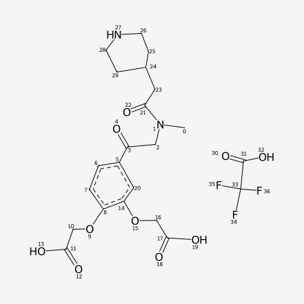 CN(CC(=O)c1ccc(OCC(=O)O)c(OCC(=O)O)c1)C(=O)CC1CCNCC1.O=C(O)C(F)(F)F